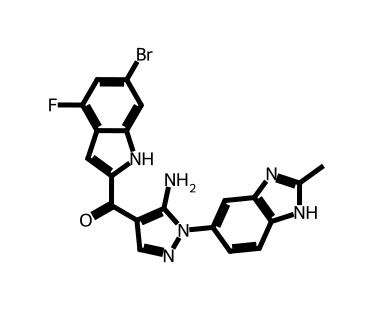 Cc1nc2cc(-n3ncc(C(=O)c4cc5c(F)cc(Br)cc5[nH]4)c3N)ccc2[nH]1